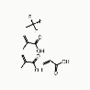 C=C(C)C(=O)O.C=C(C)C(=O)O.C=CC(=O)O.CC(F)(F)F